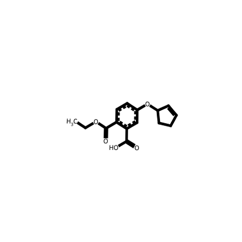 CCOC(=O)c1ccc(OC2C=CCC2)cc1C(=O)O